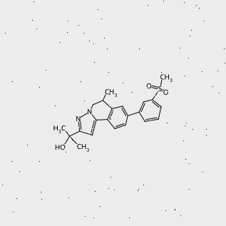 CC1Cn2nc(C(C)(C)O)cc2-c2ccc(-c3cccc(S(C)(=O)=O)c3)cc21